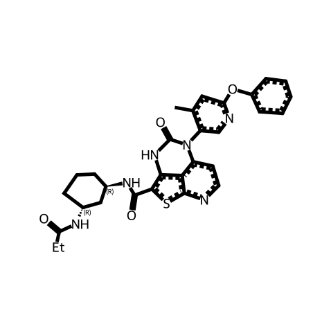 CCC(=O)N[C@@H]1CCC[C@@H](NC(=O)c2sc3nccc4c3c2NC(=O)N4c2cnc(Oc3ccccc3)cc2C)C1